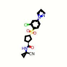 N#CC1(NC(=O)[C@H]2CC[C@H](S(=O)(=O)c3ccc(-n4cccn4)cc3Cl)C2)CC1